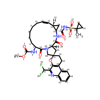 CC(C)OC(=O)N[C@H]1CCCCC/C=C\[C@@H]2C[C@@]2(C(=O)NS(=O)(=O)C2(C)CC2)NC(=O)[C@@H]2C[C@]3(CCc4c(c(C(F)F)nc5ccccc45)O3)CN2C1=O